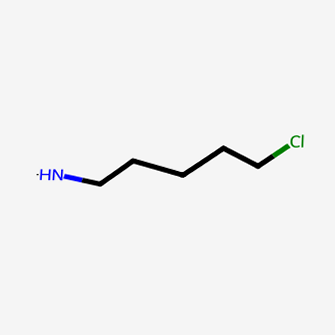 [NH]CCCCCCl